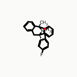 C[C@@]12c3ccccc3C[C@@H](c3ccccc31)[N@@+]2(C)Cc1ccc(F)cc1